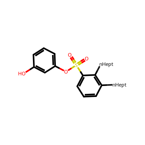 CCCCCCCc1cccc(S(=O)(=O)Oc2cccc(O)c2)c1CCCCCCC